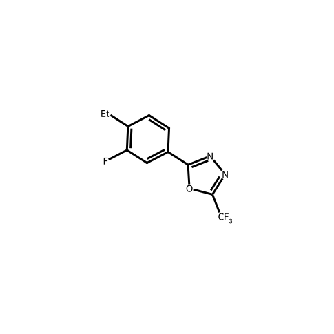 CCc1ccc(-c2nnc(C(F)(F)F)o2)cc1F